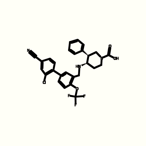 N#Cc1ccc(-c2ccc(OC(F)(F)F)c(CN[C@H]3CCN(C(=O)O)C[C@H]3c3ccccc3)c2)c(Cl)c1